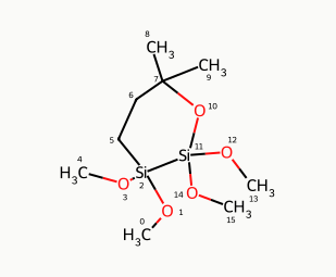 CO[Si]1(OC)CCC(C)(C)O[Si]1(OC)OC